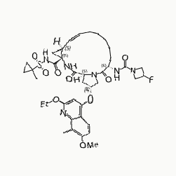 CCOc1cc(O[C@@H]2C[C@H]3C(=O)N[C@]4(C(=O)NS(=O)(=O)C5(C)CC5)C[C@H]4C=CCCCCC[C@H](NC(=O)N4CC(F)C4)C(=O)N3C2)c2ccc(OC)c(C)c2n1